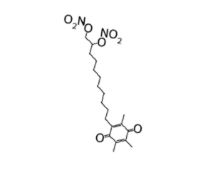 CC1=C(C)C(=O)C(CCCCCCCCCC(CO[N+](=O)[O-])O[N+](=O)[O-])=C(C)C1=O